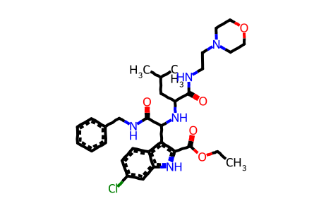 CCOC(=O)c1[nH]c2cc(Cl)ccc2c1C(NC(CC(C)C)C(=O)NCCN1CCOCC1)C(=O)NCc1ccccc1